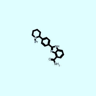 CC(C)N1CCCCC1c1ccc(-c2nc3c(C(N)=O)cccc3[nH]2)cc1